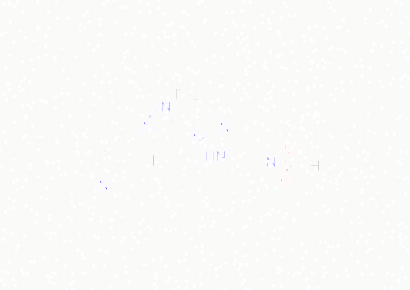 CS(=O)(=O)N1CCC(Nc2ncc(C(F)(F)F)c(-c3cn(-c4cccc(CN5CCC5)c4Cl)cn3)n2)CC1